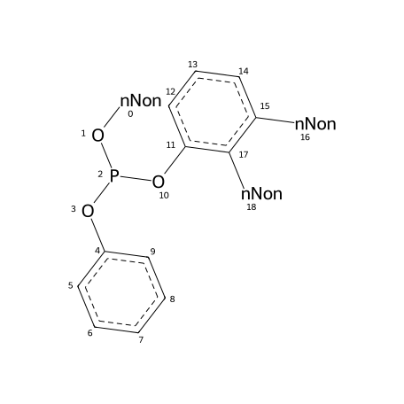 CCCCCCCCCOP(Oc1ccccc1)Oc1cccc(CCCCCCCCC)c1CCCCCCCCC